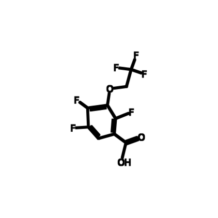 O=C(O)c1cc(F)c(F)c(OCC(F)(F)F)c1F